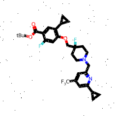 CC(C)(C)OC(=O)c1cc(C2CC2)c(OCC2(F)CCN(Cc3cc(C(F)(F)F)cc(C4CC4)n3)CC2)cc1F